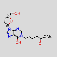 COC(=O)CCCCN1CN=c2c(ncn2[C@H]2CC[C@@H](CO)O2)=C1O